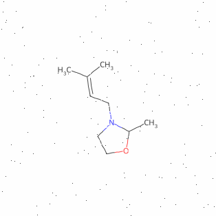 CC(C)=CCN1CCOC1C